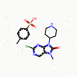 Cc1ccc(S(=O)(=O)O)cc1.Cn1c(=O)n(C2CCNCC2)c2nc(Cl)ncc21